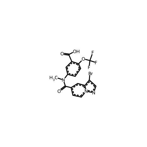 CN(C(=O)c1ccn2ncc(Br)c2c1)c1ccc(OC(F)(F)F)c(C(=O)O)c1